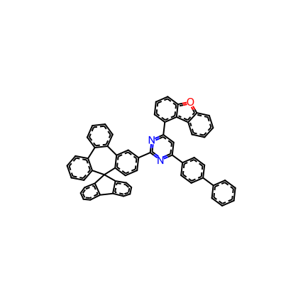 c1ccc(-c2ccc(-c3cc(-c4cccc5oc6ccccc6c45)nc(-c4ccc5c(c4)-c4ccccc4-c4ccccc4C54c5ccccc5-c5ccccc54)n3)cc2)cc1